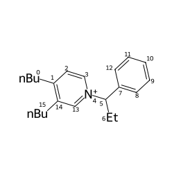 CCCCc1cc[n+](C(CC)c2ccccc2)cc1CCCC